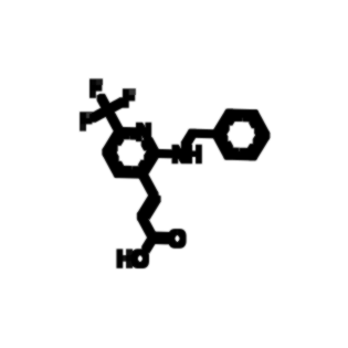 O=C(O)C=Cc1ccc(C(F)(F)F)nc1NCc1ccccc1